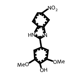 COc1cc(-c2nc3cc([N+](=O)[O-])ccc3[nH]2)cc(OC)c1O